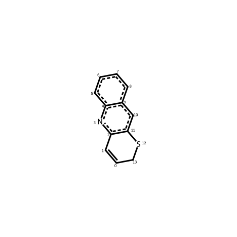 C1=Cc2nc3ccccc3cc2SC1